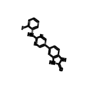 O=c1[nH]c2ccc(-c3cnc(Nc4ccccc4F)nc3)cc2[nH]1